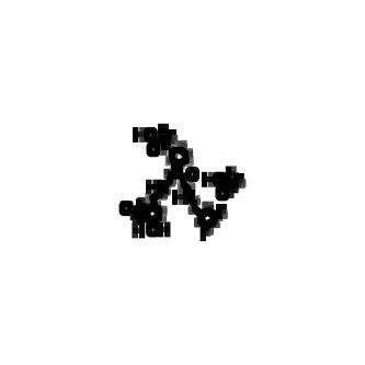 O=C(CCNCCc1cc(F)cc(F)c1)N(CCNCCc1ccc(O)c2[nH]c(=O)sc12)C1CCCCC1.O=C(O)C(F)(F)F.O=C(O)C(F)(F)F